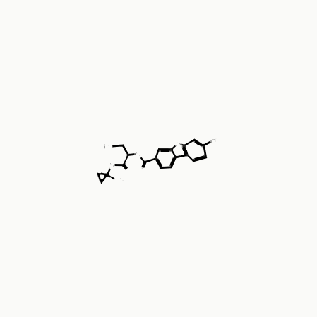 CC(C)CC(NC(=O)c1ccc2c(c1)[nH]c1cc(Br)ccc12)C(=O)NC1(C#N)CC1